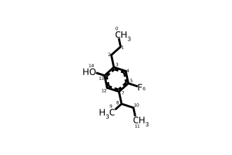 CCCc1cc(F)c(C(C)CC)cc1O